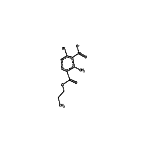 CCCOC(=O)c1ccc(Br)c([N+](=O)[O-])c1C